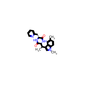 Cc1ccc2c(c1)c([C@@H](C)[C@H]1NC(=O)[C@@H](Cc3ccccn3)NC1=O)cn2C